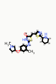 Cc1cc(OC2CCN(C)C2)ccc1N=C1NC(=O)C(=Cc2cnc(C3CCCCN3)s2)S1